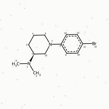 CN(C)[C@H]1CCCN(c2ccc(Br)cc2)C1